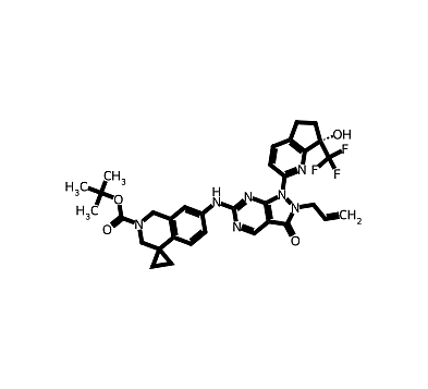 C=CCn1c(=O)c2cnc(Nc3ccc4c(c3)CN(C(=O)OC(C)(C)C)CC43CC3)nc2n1-c1ccc2c(n1)[C@](O)(C(F)(F)F)CC2